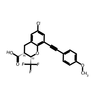 COc1ccc(C#Cc2cc(Cl)cc3c2O[C@H](C(F)(F)F)[C@H](C(=O)O)C3)cc1